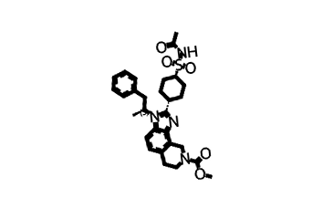 COC(=O)N1CCc2ccc3c(nc([C@H]4CC[C@H](S(=O)(=O)NC(C)=O)CC4)n3[C@@H](C)Cc3ccccc3)c2C1